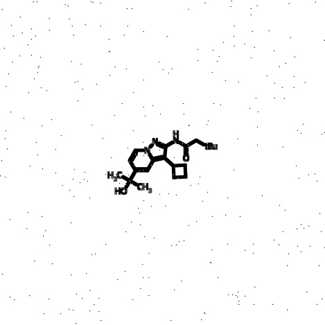 CC(C)(C)CC(=O)Nc1nn2ccc(C(C)(C)O)cc2c1C1CCC1